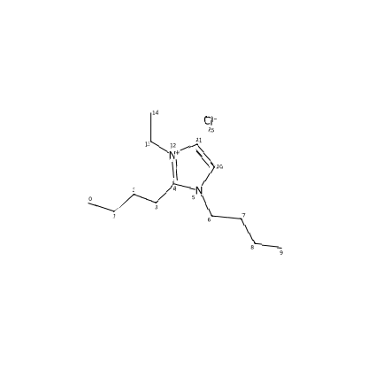 CCCCc1n(CCCC)cc[n+]1CC.[Cl-]